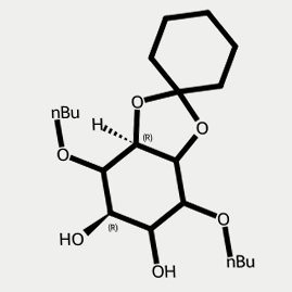 CCCCOC1C(O)[C@@H](O)C(OCCCC)[C@H]2OC3(CCCCC3)OC12